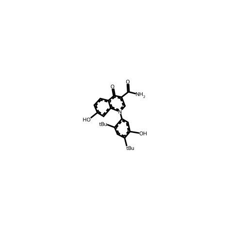 CC(C)(C)c1cc(C(C)(C)C)c(-n2cc(C(N)=O)c(=O)c3ccc(O)cc32)cc1O